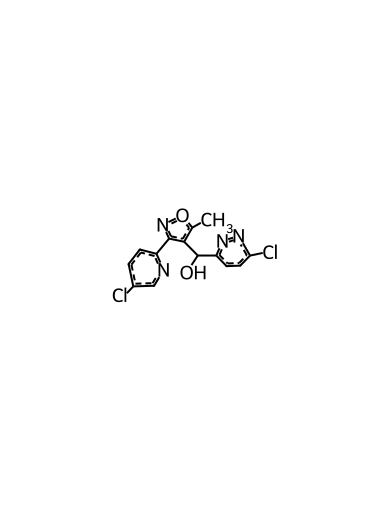 Cc1onc(-c2ccc(Cl)cn2)c1C(O)c1ccc(Cl)nn1